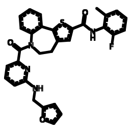 Cc1cccc(F)c1NC(=O)c1cc2c(s1)-c1ccccc1N(C(=O)c1cccc(NCc3ccco3)n1)CC2